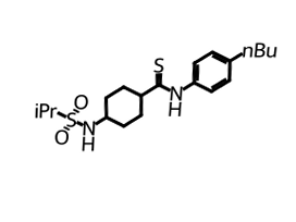 CCCCc1ccc(NC(=S)C2CCC(NS(=O)(=O)C(C)C)CC2)cc1